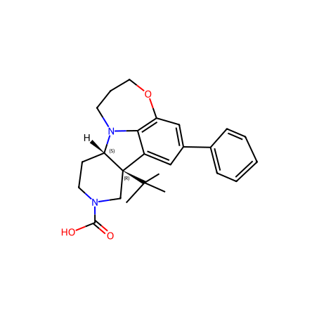 CC(C)(C)[C@@]12CN(C(=O)O)CC[C@@H]1N1CCCOc3cc(-c4ccccc4)cc2c31